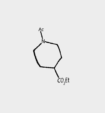 [CH2]C(=O)N1CCC(C(=O)OCC)CC1